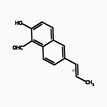 C/C=C/c1ccc2c(C=O)c(O)ccc2c1